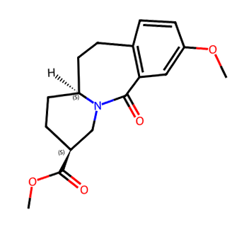 COC(=O)[C@H]1CC[C@H]2CCc3ccc(OC)cc3C(=O)N2C1